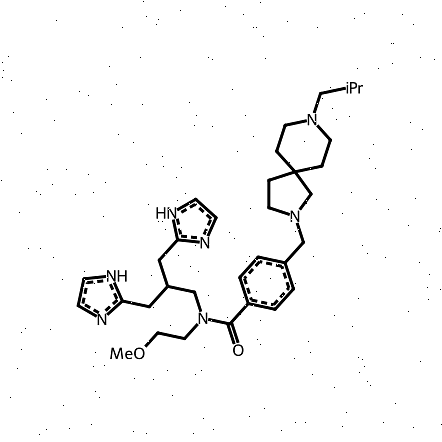 COCCN(CC(Cc1ncc[nH]1)Cc1ncc[nH]1)C(=O)c1ccc(CN2CCC3(CCN(CC(C)C)CC3)C2)cc1